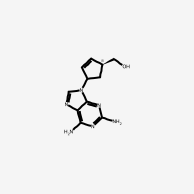 Nc1nc(N)c2ncn(C3C=C[C@@H](CO)C3)c2n1